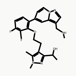 CNCc1cnn2ccc(-c3ccc(F)c(F)c3OCCc3c(C(C)O)nn(C)c3C)cc12